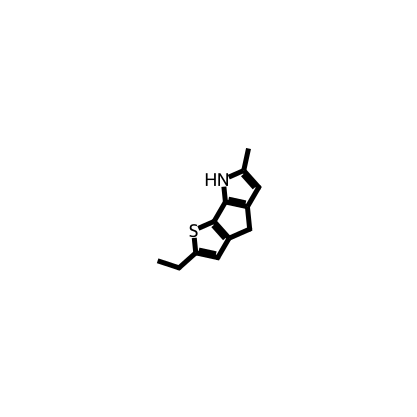 CCc1cc2c(s1)-c1[nH]c(C)cc1C2